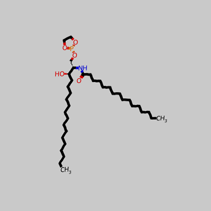 CCCCCCCCCCCCCCCC(=O)N[C@@H](COP1OCCO1)[C@H](O)CCCCCCCCCCCCCCC